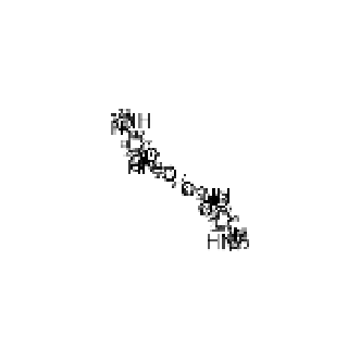 O=S(=O)(NCCOCCOCCNS(=O)(=O)c1ccc(C2=NCCN2)cc1)c1ccc(C2=NCCN2)cc1